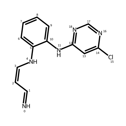 N=C/C=C\Nc1ccccc1Nc1cc(Cl)ncn1